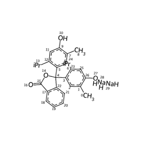 Cc1cc(C2(c3cc(C)c(O)cc3C(C)C)OC(=O)c3ccccc32)c(C(C)C)cc1O.[NaH].[NaH]